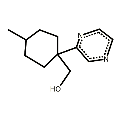 CC1CCC(CO)(c2cnccn2)CC1